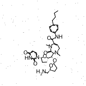 CCCCc1ccc(NC(=O)C2=CCN(C)[C@@H]([C@H](O[C@H]3CC[C@@H](CN)O3)[C@@H]3CC[C@H](n4ccc(=O)[nH]c4=O)O3)C(=O)N2C)cc1